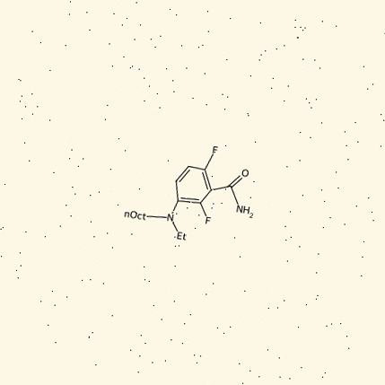 CCCCCCCCN(CC)c1ccc(F)c(C(N)=O)c1F